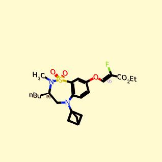 CCCC[C@@H]1CN(C23CC(C2)C3)c2ccc(O/C=C(\F)C(=O)OCC)cc2S(=O)(=O)N1C